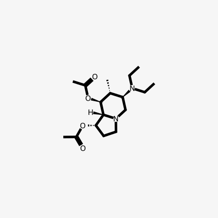 CCN(CC)[C@H]1CN2CC[C@H](OC(C)=O)[C@@H]2[C@@H](OC(C)=O)[C@@H]1C